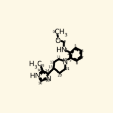 COCNc1ccccc1N1CCC(c2nc[nH]c2C)CC1